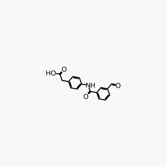 O=Cc1cccc(C(=O)Nc2ccc(CC(=O)O)cc2)c1